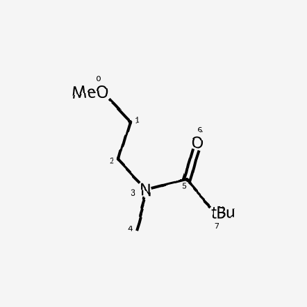 COCCN(C)C(=O)C(C)(C)C